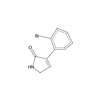 O=C1NCC=C1c1ccccc1Br